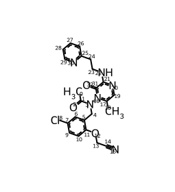 CC(=O)N(Cc1cc(Cl)ccc1OCC#N)n1c(C)cnc(NCCc2ccccn2)c1=O